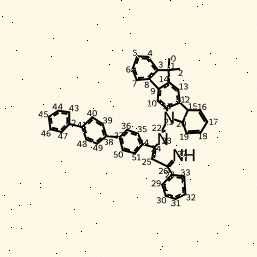 CC1(C)c2ccccc2-c2cc3c(cc21)C1C=CC=CC1N3/C=N/C(=C\C(=N)c1ccccc1)c1ccc(-c2ccc(-c3ccccc3)cc2)cc1